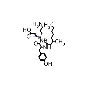 CCCCCC(C)CC(=O)NC(Cc1ccc(O)cc1)C(=O)N[C@H](/C=C/C(=O)O)CCCN